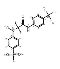 CC(C)(C(=O)Nc1ccc(C(F)(F)F)cn1)[S+]([O-])c1ccc(S(C)(=O)=O)cc1